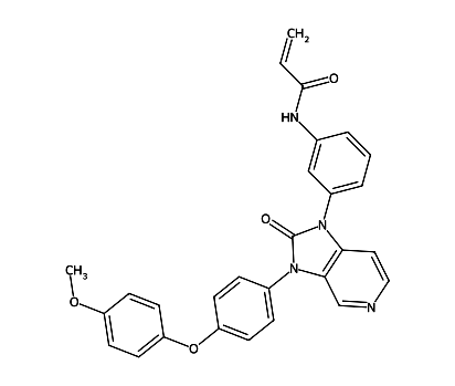 C=CC(=O)Nc1cccc(-n2c(=O)n(-c3ccc(Oc4ccc(OC)cc4)cc3)c3cnccc32)c1